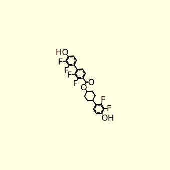 O=C(OC1CCC(c2ccc(O)c(F)c2F)CC1)c1ccc(-c2ccc(O)c(F)c2F)c(F)c1F